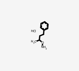 CC(CCc1ccccc1)ON.Cl